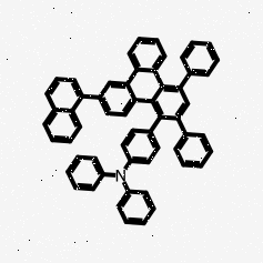 c1ccc(-c2cc(-c3ccccc3)c3c4ccccc4c4cc(-c5cccc6ccccc56)ccc4c3c2-c2ccc(N(c3ccccc3)c3ccccc3)cc2)cc1